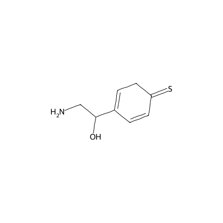 NCC(O)C1=CCC(=S)C=C1